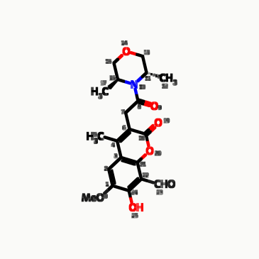 COc1cc2c(C)c(CC(=O)N3[C@@H](C)COC[C@@H]3C)c(=O)oc2c(C=O)c1O